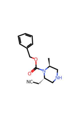 C[C@H]1CNC[C@H](CC#N)N1C(=O)OCc1ccccc1